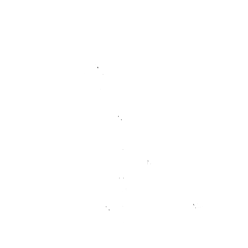 COc1cc(C)c(S(=O)(=O)N(C)C(COc2nccc(N3CCC4(CCN(Cc5ccccc5)C4=O)CC3)n2)c2ccccc2)c(C)c1